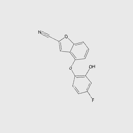 N#Cc1cc2c(Oc3ccc(F)cc3O)cccc2o1